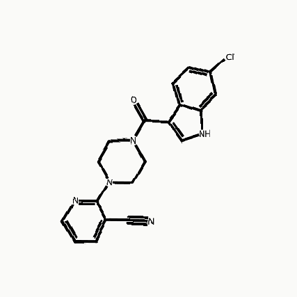 N#Cc1cccnc1N1CCN(C(=O)c2[c][nH]c3cc(Cl)ccc23)CC1